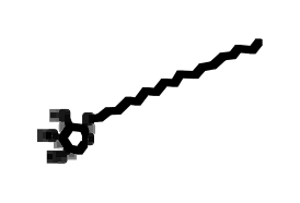 CCCCCCCCCCCCCCCCCCO[C@@H]1OC[C@@H](O)[C@H](O)[C@H]1O